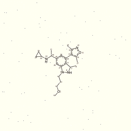 COCCCN1NC(C)c2c(-c3c(C)noc3C)cc(C(C)NC3CC3)cc21